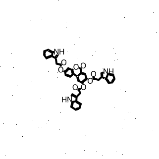 O=C(Cc1c[nH]c2ccccc12)Oc1ccc2c(c1)oc(=O)c1cc(OC(=O)Cc3c[nH]c4ccccc34)c(OC(=O)Cc3c[nH]c4ccccc34)cc12